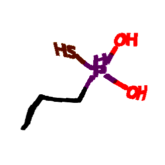 CCC[PH](O)(O)S